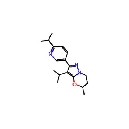 CC(C)c1ccc(-c2nn3c(c2C(C)C)O[C@H](C)CC3)cn1